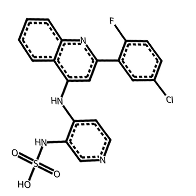 O=S(=O)(O)Nc1cnccc1Nc1cc(-c2cc(Cl)ccc2F)nc2ccccc12